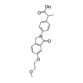 COCCOc1ccc2c(c1)C(=O)N(c1ccc(C(C)C(=O)O)cc1)C2